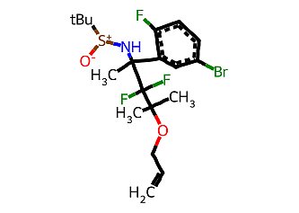 C=CCOC(C)(C)C(F)(F)C(C)(N[S+]([O-])C(C)(C)C)c1cc(Br)ccc1F